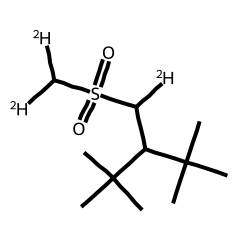 [2H]C([2H])S(=O)(=O)C([2H])C(C(C)(C)C)C(C)(C)C